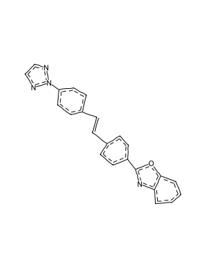 C(=C\c1ccc(-n2nccn2)cc1)/c1ccc(-c2nc3ccccc3o2)cc1